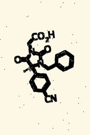 C[C@]1(c2ccc(C#N)cc2)C(=O)N(CC(=O)O)C(=O)N1Cc1ccccc1